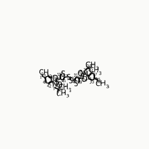 CCc1ccc(N(CC(C)C)S(=O)(=O)c2csc(SSc3cc(S(=O)(=O)N(CC(C)C)c4ccc(CC)cc4)cs3)c2)cc1